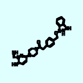 N=Cn1nc(N2CCN(C(=O)Cc3ccc(CON4NNc5ccccc54)cc3)CC2)ccc1=N